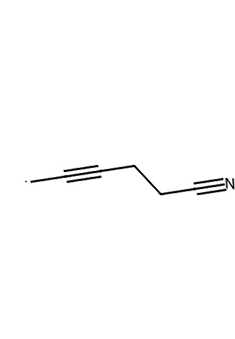 [CH2]C#CCCC#N